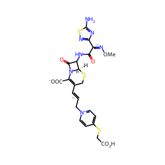 CO/N=C(\C(=O)NC1C(=O)N2C(C(=O)[O-])=C(/C=C/C[n+]3ccc(SCC(=O)O)cc3)CS[C@H]12)c1nsc(N)n1